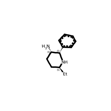 CC[C@H]1CC[C@H](N)[C@H](c2ccccc2)N1